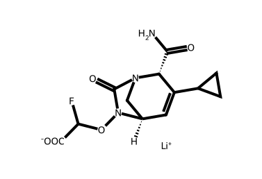 NC(=O)[C@@H]1C(C2CC2)=C[C@@H]2CN1C(=O)N2OC(F)C(=O)[O-].[Li+]